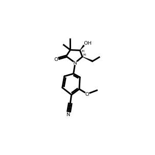 CC[C@@H]1[C@H](O)C(C)(C)C(=O)N1c1ccc(C#N)c(OC)c1